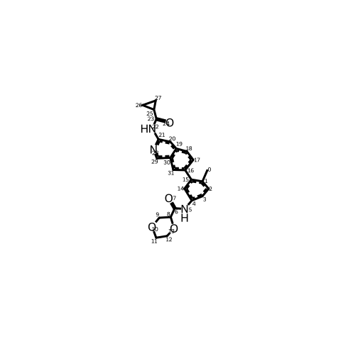 Cc1ccc(NC(=O)C2COCCO2)cc1-c1ccc2cc(NC(=O)C3CC3)ncc2c1